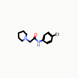 CCc1ccc(NC(=O)CN2CCCCC2)cc1